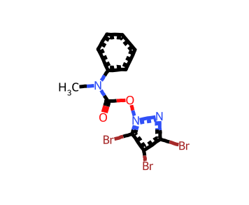 CN(C(=O)On1nc(Br)c(Br)c1Br)c1ccccc1